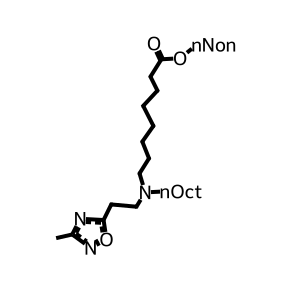 CCCCCCCCCOC(=O)CCCCCCCN(CCCCCCCC)CCc1nc(C)no1